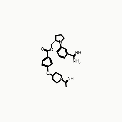 CC(=N)N1CCC(Oc2ccc(C(=O)OC[C@@H]3CCCN3c3cccc(C(=N)N)c3)cc2)CC1